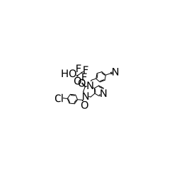 N#Cc1ccc(CN2C(=O)CN(C(=O)c3ccc(Cl)cc3)Cc3cnccc32)cc1.O=C(O)C(F)(F)F